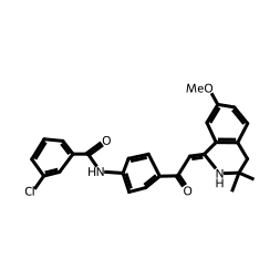 COc1ccc2c(c1)/C(=C/C(=O)c1ccc(NC(=O)c3cccc(Cl)c3)cc1)NC(C)(C)C2